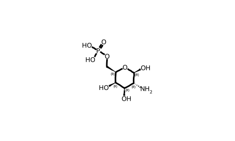 N[C@@H]1[C@@H](O)[C@@H](O)[C@@H](COP(=O)(O)O)O[C@H]1O